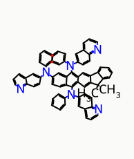 CC1(C)c2ccccc2-c2cc3c(N(c4ccccc4)c4ccc5ncccc5c4)c4cc(N(c5ccccc5)c5ccc6ncccc6c5)ccc4c(N(c4ccccc4)c4ccc5ncccc5c4)c3cc21